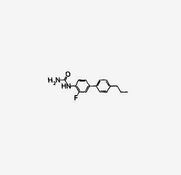 CCCc1ccc(-c2ccc(NC(N)=O)c(F)c2)cc1